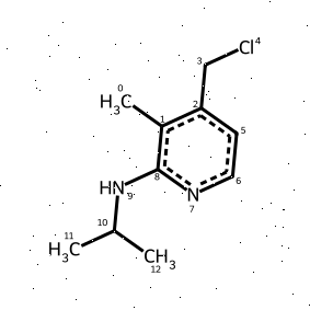 Cc1c(CCl)ccnc1NC(C)C